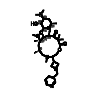 CO[C@]1(C)C[C@@H](C)CN(C)C(C2CN(Cc3cccnc3)C2)COC(=O)C(C)(C)C(=O)[C@H](C)[C@H]1O[C@@H]1O[C@H](C)C[C@H](N(C)C)[C@H]1O